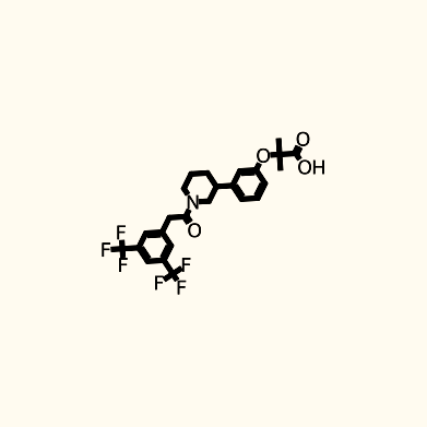 CC(C)(Oc1cccc(C2CCCN(C(=O)Cc3cc(C(F)(F)F)cc(C(F)(F)F)c3)C2)c1)C(=O)O